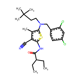 CCC(CC)C(=O)Nc1sc(N(CCC(C)(C)C)Cc2ccc(Cl)cc2Cl)c(C)c1C#N